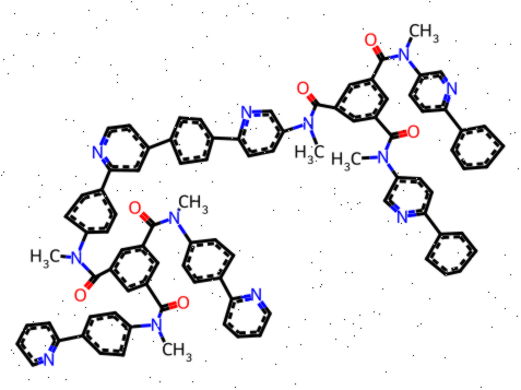 CN(C(=O)c1cc(C(=O)N(C)c2ccc(-c3ccccn3)cc2)cc(C(=O)N(C)c2ccc(-c3cc(-c4ccc(-c5ccc(N(C)C(=O)c6cc(C(=O)N(C)c7ccc(-c8ccccc8)nc7)cc(C(=O)N(C)c7ccc(-c8ccccc8)nc7)c6)cn5)cc4)ccn3)cc2)c1)c1ccc(-c2ccccn2)cc1